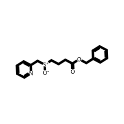 O=C(CCC[S+]([O-])Cc1ccccn1)OCc1ccccc1